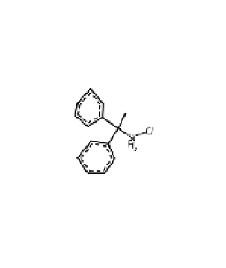 CC([SiH2]Cl)(c1ccccc1)c1ccccc1